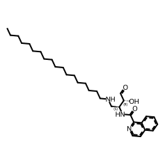 CCCCCCCCCCCCCCCCCCNC[C@H](NC(=O)c1nccc2ccccc12)[C@@H](O)C=O